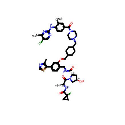 CNc1nc(Nc2ccc(C(=O)N3CCN(CC4CCC(COc5cc(-c6scnc6C)ccc5CNC(=O)[C@@H]5C[C@@H](O)CN5C(=O)[C@@H](NC(=O)C5(F)CC5)C(C)(C)C)CC4)CC3)cc2OC)ncc1Cl